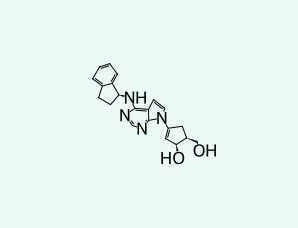 OC[C@@H]1CC(n2ccc3c(N[C@H]4CCc5ccccc54)ncnc32)=C[C@@H]1O